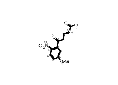 CCC(=O)NCCC(=O)c1cc(OC)ccc1[N+](=O)[O-]